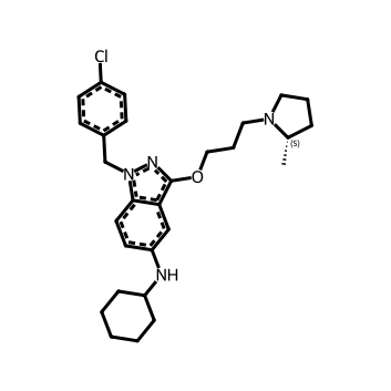 C[C@H]1CCCN1CCCOc1nn(Cc2ccc(Cl)cc2)c2ccc(NC3CCCCC3)cc12